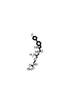 CC(C)(C)OC(=O)NCCOC[C@H](N)CNC(=O)c1cc2ccc(-c3ccc(F)cc3)cc2[nH]1